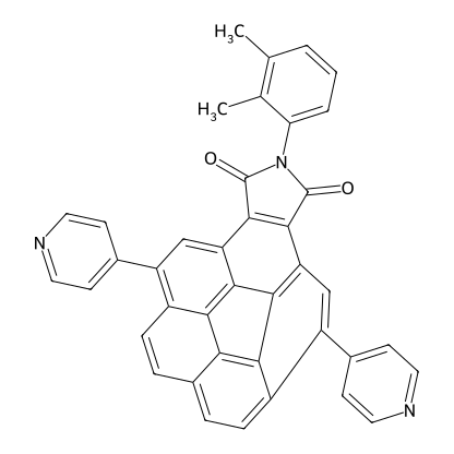 Cc1cccc(-n2c(=O)c3c4cc(-c5ccncc5)c5ccc6ccc7c(-c8ccncc8)cc(c3c2=O)c2c7c6c5c42)c1C